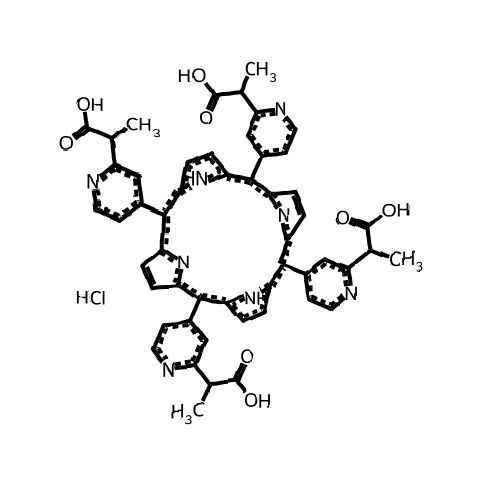 CC(C(=O)O)c1cc(-c2c3nc(c(-c4ccnc(C(C)C(=O)O)c4)c4ccc([nH]4)c(-c4ccnc(C(C)C(=O)O)c4)c4nc(c(-c5ccnc(C(C)C(=O)O)c5)c5ccc2[nH]5)C=C4)C=C3)ccn1.Cl